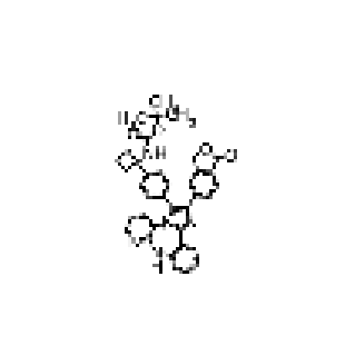 CC(C)(C)OC(=O)NC1(c2ccc(-c3c(-c4ccc5c(c4)COC5=O)nc4n3-c3cccnc3Nc3ccccc3-4)cc2)CCC1